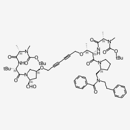 C[C@@H](OCC#CC#CCO[C@H]1C[C@@H](C=O)N(C(=O)[C@@H](NC(=O)[C@H](C)N(C)C(=O)OC(C)(C)C)C(C)(C)C)C1)[C@H](NC(=O)[C@H](C)N(C)C(=O)OC(C)(C)C)C(=O)N1CCC[C@H]1CN(CCc1ccccc1)C(=O)c1ccccc1